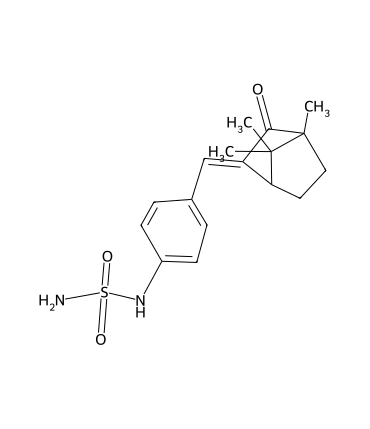 CC12CCC(C(=Cc3ccc(NS(N)(=O)=O)cc3)C1=O)C2(C)C